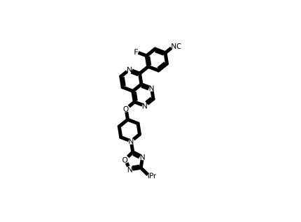 [C-]#[N+]c1ccc(-c2nccc3c(OC4CCN(c5nc(C(C)C)no5)CC4)ncnc23)c(F)c1